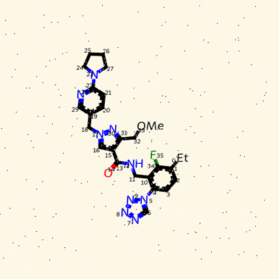 CCc1ccc(-n2cnnn2)c(CNC(=O)c2cn(Cc3ccc(N4CCCC4)nc3)nc2COC)c1F